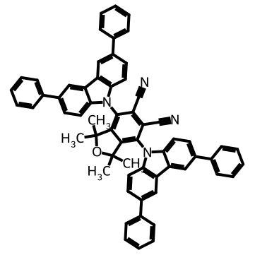 CC1(C)OC(C)(C)c2c(-n3c4ccc(-c5ccccc5)cc4c4cc(-c5ccccc5)ccc43)c(C#N)c(C#N)c(-n3c4ccc(-c5ccccc5)cc4c4cc(-c5ccccc5)ccc43)c21